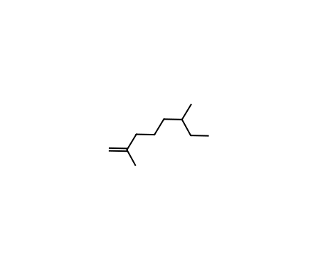 C=C(C)CCCC(C)CC